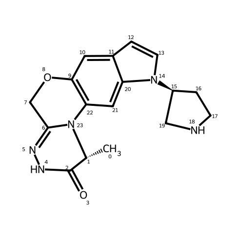 C[C@@H]1C(=O)NN=C2COc3cc4ccn([C@H]5CCNC5)c4cc3N21